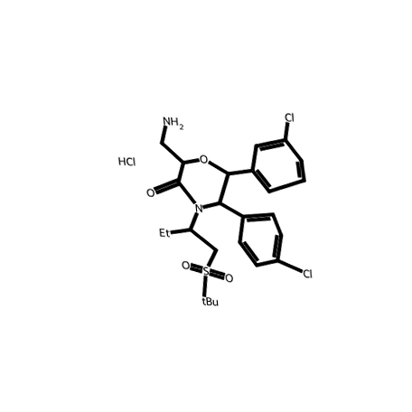 CCC(CS(=O)(=O)C(C)(C)C)N1C(=O)C(CN)OC(c2cccc(Cl)c2)C1c1ccc(Cl)cc1.Cl